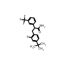 CC(C)(C)c1ccc(CC(C(N)=O)c2cccc(C(F)(F)F)c2)c(F)c1